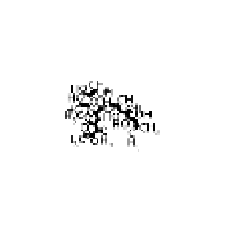 COC(=O)C(C)C(CC(OC(OC(CO)C(C)O)C(O)O)C(C)OCC(C)C(O)C(O)C(O)C(O)C(C)C)C(=O)OC